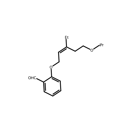 CCC(=CCOc1ccccc1C=O)CCOC(C)C